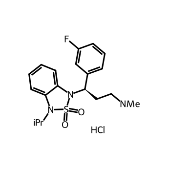 CNCC[C@H](c1cccc(F)c1)N1c2ccccc2N(C(C)C)S1(=O)=O.Cl